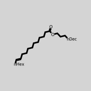 CCCCCCC=CCCCCCCCCCC(=O)OCCCCCCCCCCCCC